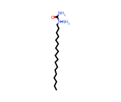 CCCCCCCCCCCCCCCCCCN(N)C(N)=O